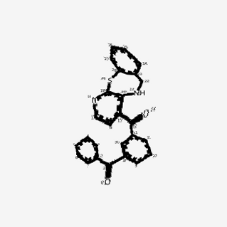 O=C(c1ccccc1)c1cccc(C(=O)c2ccnc3c2NCc2ccccc2S3)c1